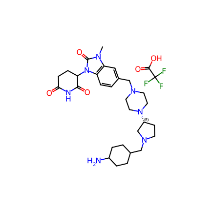 Cn1c(=O)n(C2CCC(=O)NC2=O)c2ccc(CN3CCN([C@@H]4CCN(CC5CCC(N)CC5)C4)CC3)cc21.O=C(O)C(F)(F)F